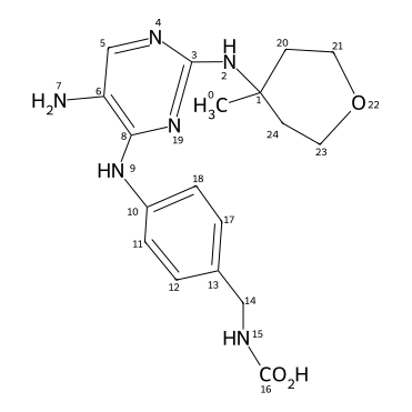 CC1(Nc2ncc(N)c(Nc3ccc(CNC(=O)O)cc3)n2)CCOCC1